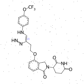 N=N/C(=C\Nc1ccc(OC(F)(F)F)cc1)CCOc1cccc2c1CN(C1CCC(=O)NC1=O)C2=O